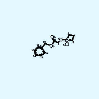 O=C(CO[Si]1(Cl)CCC1)OCc1ccccc1